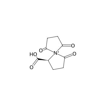 O=C(O)[C@@H]1CCC(=O)[N+]12C(=O)CCC2=O